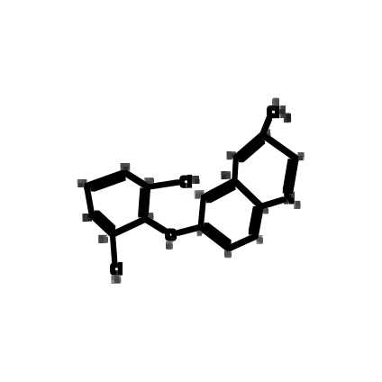 Cc1cnc2ccc(Oc3c(Cl)cccc3Cl)cc2c1